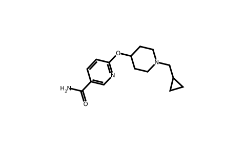 NC(=O)c1ccc(OC2CCN(CC3CC3)CC2)nc1